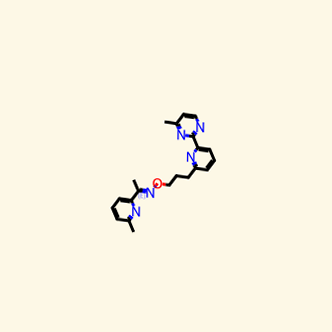 C/C(=N\OCCCc1cccc(-c2nccc(C)n2)n1)c1cccc(C)n1